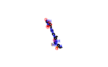 CCc1cc(Nc2ncc(Br)c(Nc3ccc4nc(C)ccc4c3P(C)(C)=O)n2)c(OC)cc1N1CCC(N2CCN(CCc3cccc(N(C)C4CCC(=O)NC4=O)c3OC=O)CC2)CC1